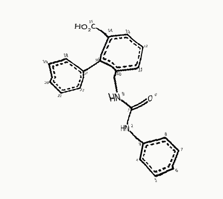 O=C(Nc1ccccc1)Nc1cccc(C(=O)O)c1-c1ccccc1